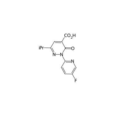 CC(C)c1cc(C(=O)O)c(=O)n(-c2ccc(F)cn2)n1